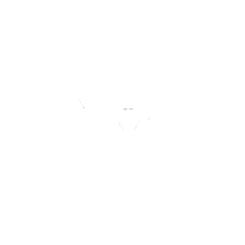 [CH]=CCCc1cc(C)c(OC(C)=O)c(C)c1C